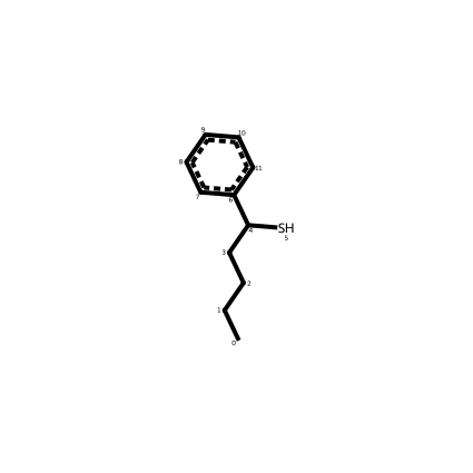 CCCCC(S)c1ccccc1